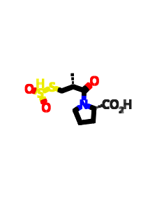 C[C@@H](CS[SH](=O)=O)C(=O)N1CCC[C@H]1C(=O)O